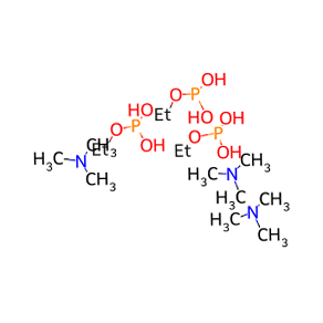 CCOP(O)O.CCOP(O)O.CCOP(O)O.CN(C)C.CN(C)C.CN(C)C